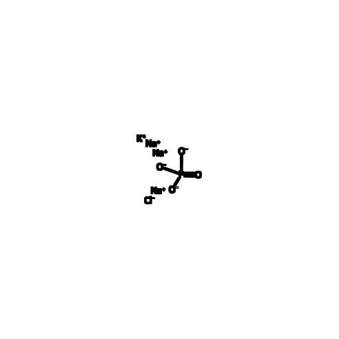 O=P([O-])([O-])[O-].[Cl-].[K+].[Na+].[Na+].[Na+]